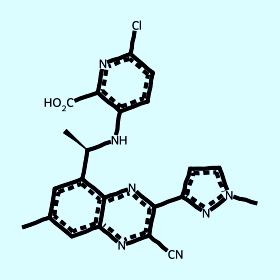 Cc1cc([C@@H](C)Nc2ccc(Cl)nc2C(=O)O)c2nc(-c3ccn(C)n3)c(C#N)nc2c1